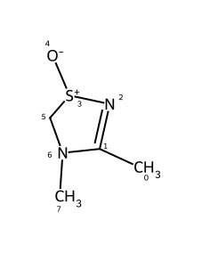 CC1=N[S+]([O-])CN1C